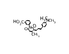 CC1=CC(=O)N(c2cccc(C(=O)O)c2)C(=O)/C1=C\C=C\c1ccc(N(C)C)cc1